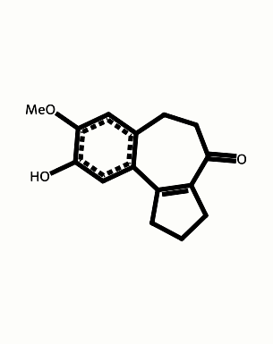 COc1cc2c(cc1O)C1=C(CCC1)C(=O)CC2